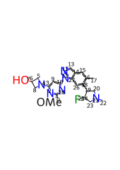 COc1nc(N2CC(O)C2)cc(-n2ncc3cc(C)c([C@H]4CN(C)C[C@H]4F)cc32)n1